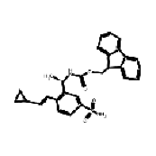 C[C@@H](NC(=O)OCC1c2ccccc2-c2ccccc21)c1cc(S(N)(=O)=O)ccc1/C=C/C1CC1